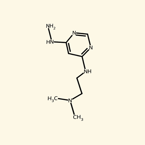 CN(C)CCNc1cc(NN)ncn1